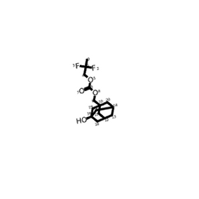 CC(F)(F)COC(=O)OCC12CC3CC(CC(O)(C3)C1)C2